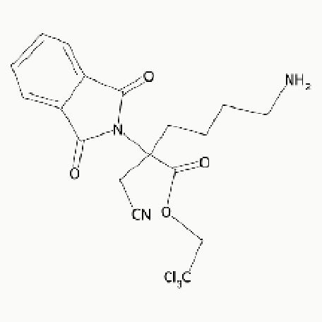 N#CCC(CCCCN)(C(=O)OCC(Cl)(Cl)Cl)N1C(=O)c2ccccc2C1=O